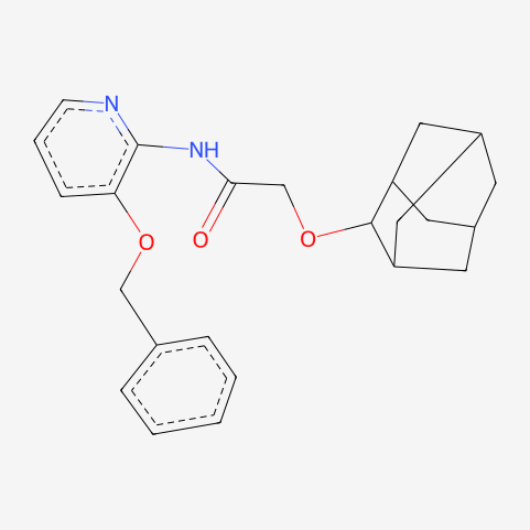 O=C(COC1C2CC3CC(C2)CC1C3)Nc1ncccc1OCc1ccccc1